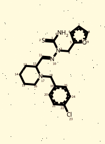 NC(=S)N(Cc1ccco1)N=CC1CCCCN1Cc1ccc(Cl)cc1